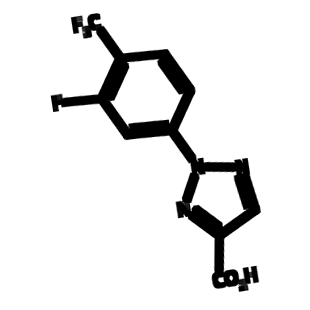 O=C(O)c1cnn(-c2ccc(C(F)(F)F)c(F)c2)n1